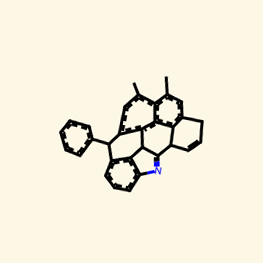 Cc1cc2c3c4c5c(cc(C)c14)C(c1ccccc1)c1cccc4c1C5C(=N4)C3C=CC2